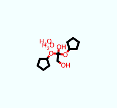 O.O.OCC(O)(OC1CCCC1)OC1CCCC1